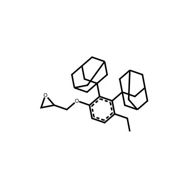 CCc1ccc(OCC2CO2)c(C23CC4CC(CC(C4)C2)C3)c1C12CC3CC(CC(C3)C1)C2